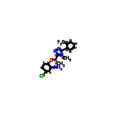 C[C@H](Oc1ccc(Cl)cc1N)c1nnc(-c2ccccc2C(F)(F)F)n1C